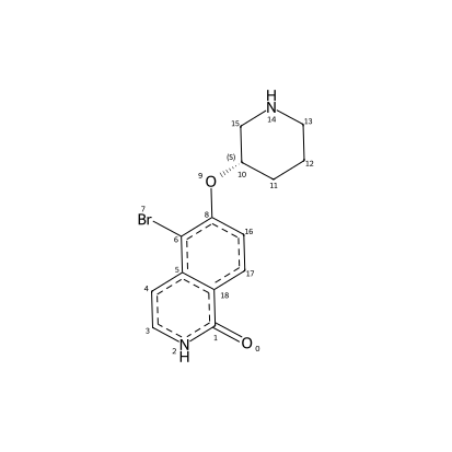 O=c1[nH]ccc2c(Br)c(O[C@H]3CCCNC3)ccc12